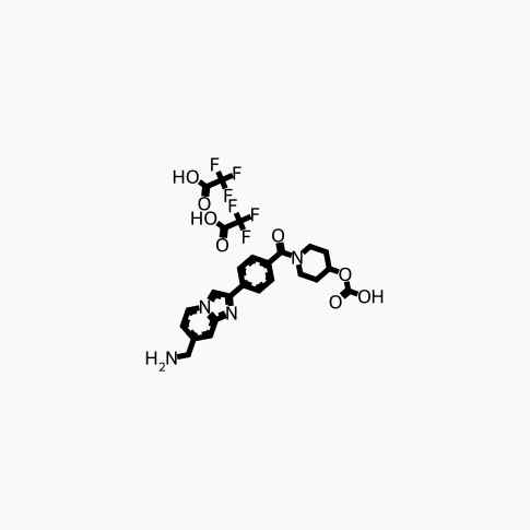 NCc1ccn2cc(-c3ccc(C(=O)N4CCC(OC(=O)O)CC4)cc3)nc2c1.O=C(O)C(F)(F)F.O=C(O)C(F)(F)F